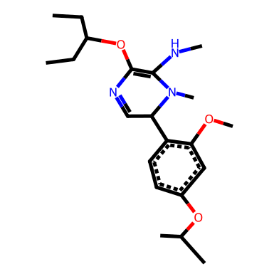 CCC(CC)OC1=C(NC)N(C)C(c2ccc(OC(C)C)cc2OC)C=N1